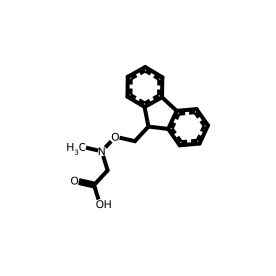 CN(CC(=O)O)OCC1c2ccccc2-c2ccccc21